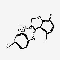 C[C@@H](O)[C@H]1COc2c(F)ccc(F)c2[C@@H]1Sc1ccc(Cl)cc1